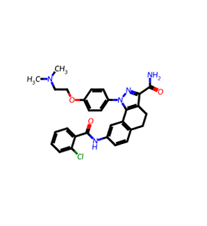 CN(C)CCOc1ccc(-n2nc(C(N)=O)c3c2-c2cc(NC(=O)c4ccccc4Cl)ccc2CC3)cc1